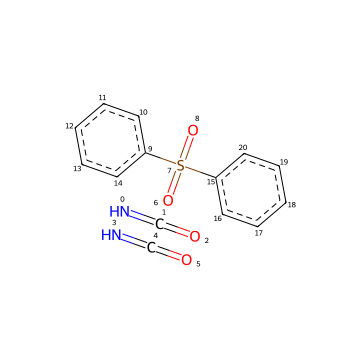 N=C=O.N=C=O.O=S(=O)(c1ccccc1)c1ccccc1